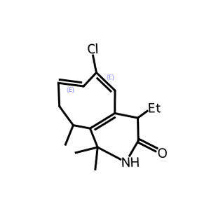 CCC1C(=O)NC(C)(C)C2=C1/C=C(Cl)\C=C\CC2C